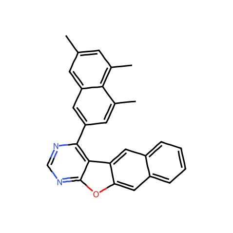 Cc1cc(C)c2c(C)cc(-c3ncnc4oc5cc6ccccc6cc5c34)cc2c1